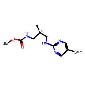 CSc1cnc(NC[C@H](C)CNC(=O)OC(C)(C)C)nc1